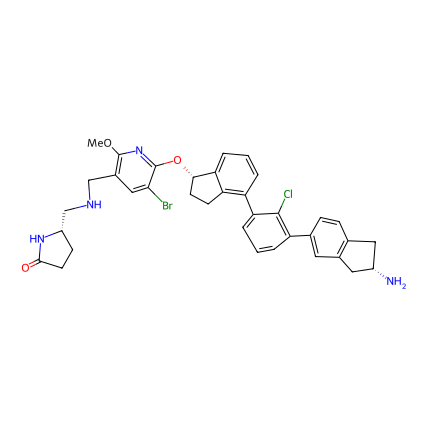 COc1nc(O[C@H]2CCc3c(-c4cccc(-c5ccc6c(c5)C[C@@H](N)C6)c4Cl)cccc32)c(Br)cc1CNC[C@@H]1CCC(=O)N1